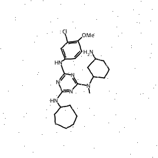 COc1ccc(Nc2nc(NC3CCCCCC3)nc(N(C)C3CCCC(N)C3)n2)cc1Cl